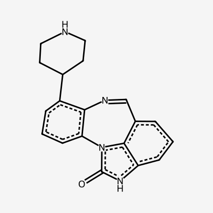 O=c1[nH]c2cccc3c2n1-c1cccc(C2CCNCC2)c1N=C3